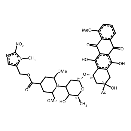 COc1cccc2c1C(=O)c1c(O)c3c(c(O)c1C2=O)C[C@@](O)(C(C)=O)C[C@@H]3O[C@H]1CC(N2C(OC)CC(C(=O)OCc3cnc([N+](=O)[O-])n3C)CC2OC)C(O)[C@H](C)O1